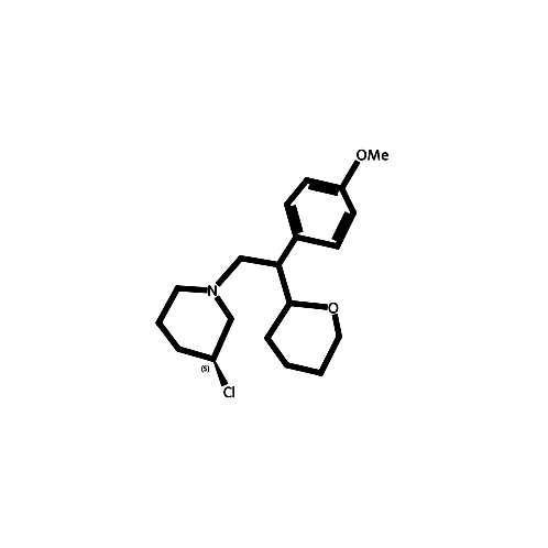 COc1ccc(C(CN2CCC[C@H](Cl)C2)C2CCCCO2)cc1